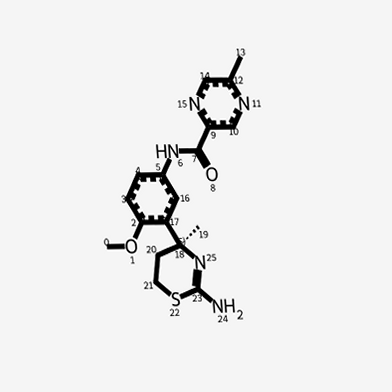 COc1ccc(NC(=O)c2cnc(C)cn2)cc1[C@]1(C)CCSC(N)=N1